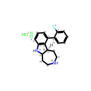 Cl.Cl.Fc1ccccc1-c1cccc2c1[C@H]1CCNCCC1N2